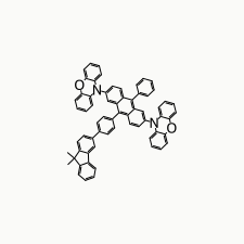 CC1(C)c2ccccc2-c2cc(-c3ccc(-c4c5ccc(N6c7ccccc7Oc7ccccc76)cc5c(-c5ccccc5)c5ccc(N6c7ccccc7Oc7ccccc76)cc45)cc3)ccc21